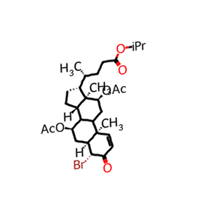 CC(=O)O[C@H]1CC2C([C@H](OC(C)=O)C[C@@H]3[C@@H](Br)C(=O)C=C[C@]23C)[C@@H]2CC[C@H]([C@H](C)CCC(=O)OC(C)C)[C@@]12C